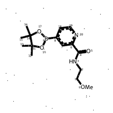 COCCNC(=O)c1cc(B2OC(C)(C)C(C)(C)O2)ccn1